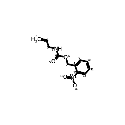 C=CCNC(=O)OCc1ccccc1[N+](=O)[O-]